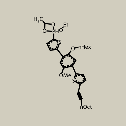 CCCCCCCCC#Cc1ccc(-c2cc(OCCCCCC)c(-c3ccc([PH]4(OCC)OC(C)O4)s3)cc2OC)s1